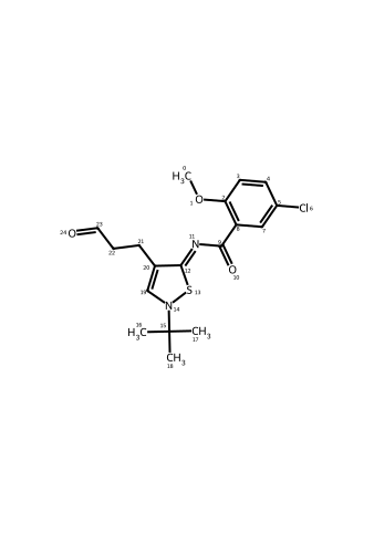 COc1ccc(Cl)cc1C(=O)/N=c1\sn(C(C)(C)C)cc1CCC=O